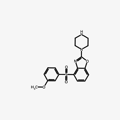 COc1cccc(S(=O)(=O)c2cccc3oc(N4CCNCC4)nc23)c1